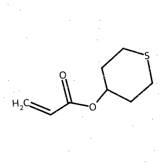 C=CC(=O)OC1CCSCC1